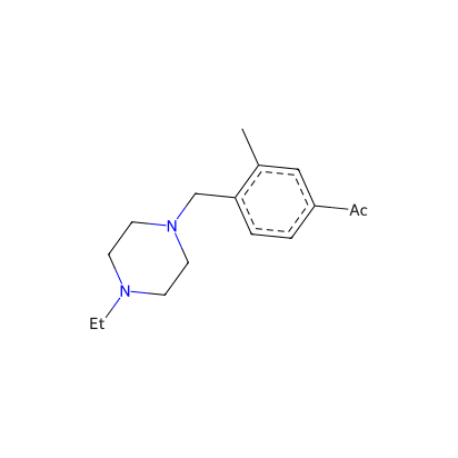 CCN1CCN(Cc2ccc(C(C)=O)cc2C)CC1